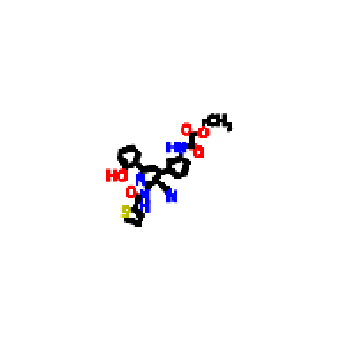 CCOC(=O)C(=O)Nc1cccc(-c2cc(-c3ccccc3O)nc(NC(=O)c3cccs3)c2C#N)c1